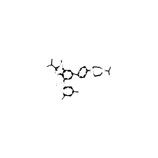 Cc1cc(C)nc(Nc2cc(-c3ccc(N4CCN(C(C)C)CC4)cc3)cc3c2nc(C(C)C)n3C)c1